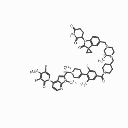 CNc1c(F)cn(-c2ccnc3c2cc([C@H](C)N2CC=C(c4c(C)cc(C(=O)N5CCC(CN6CCN(Cc7ccc8c(c7)C7(CC7)C(=O)N8C7CCC(=O)NC7=O)C[C@@H]6C)CC5)cc4F)CC2)n3C)c(=O)c1F